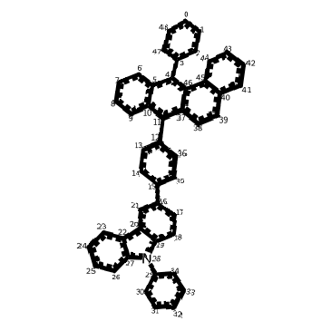 c1ccc(-c2c3ccccc3c(-c3ccc(-c4ccc5c(c4)c4ccccc4n5-c4ccccc4)cc3)c3ccc4ccccc4c23)cc1